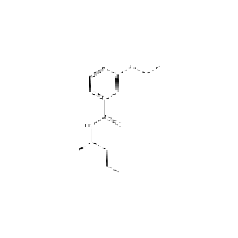 CCC[C@@H](C)NC(=O)c1cccc(OCC)c1